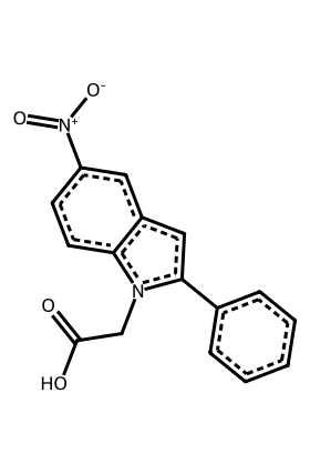 O=C(O)Cn1c(-c2ccccc2)cc2cc([N+](=O)[O-])ccc21